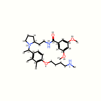 CNCCCCOc1ccc(C(C)N2CCCC2CCNC(=O)c2cc(OC)cc(OC)c2)c(C)c1C